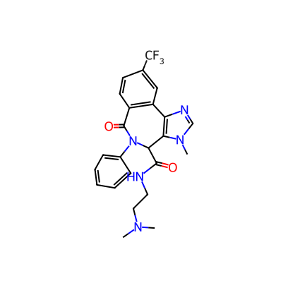 CN(C)CCNC(=O)C1c2c(ncn2C)-c2cc(C(F)(F)F)ccc2C(=O)N1c1ccccc1